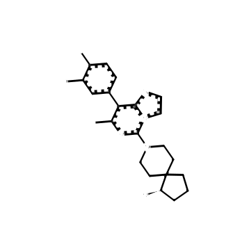 Cc1nc(N2CCC3(CCC[C@H]3N)CC2)n2ccnc2c1-c1ccc(Cl)c(Cl)c1